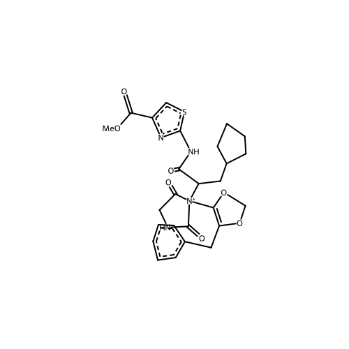 COC(=O)c1csc(NC(=O)C(CC2CCCC2)[N+]2(C3=C(Cc4ccccc4)OCO3)C(=O)CNC2=O)n1